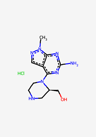 Cl.Cn1ncc2c(N3CCNC[C@@H]3CO)nc(N)nc21